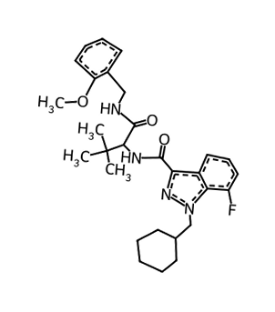 COc1ccccc1CNC(=O)C(NC(=O)c1nn(CC2CCCCC2)c2c(F)cccc12)C(C)(C)C